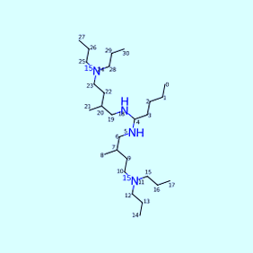 CCCCC(NCC(C)CC[15N](CCC)CCC)NCC(C)CC[15N](CCC)CCC